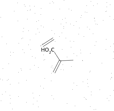 C=C(C)C(=O)O.[CH]=C